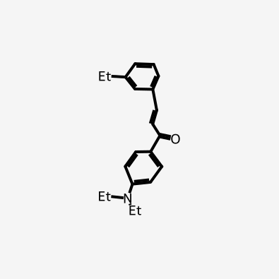 CCc1cccc(C=CC(=O)c2ccc(N(CC)CC)cc2)c1